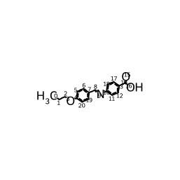 CCCOc1ccc(/C=N/c2ccc(C(=O)O)cc2)cc1